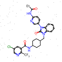 CCC(=O)Nc1ccc(-n2c(=O)n(CC3CCC(NC(=O)c4cc(Cl)cnc4C(F)(F)F)CC3)c3ccccc32)cn1